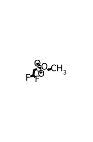 CCOS(=O)(=O)CC(F)F